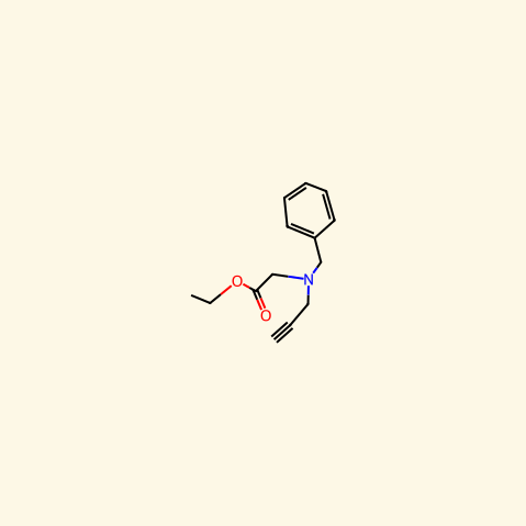 C#CCN(CC(=O)OCC)Cc1ccccc1